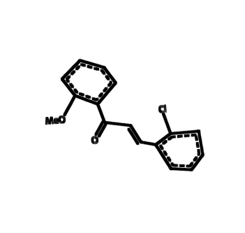 COc1ccccc1C(=O)/C=C/c1ccccc1Cl